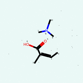 CC=C(C)C(=O)O.CN(C)C